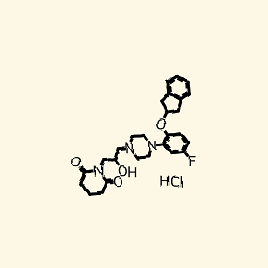 Cl.O=C1CCCC(=O)N1CC(O)CN1CCN(c2cc(F)ccc2OC2Cc3ccccc3C2)CC1